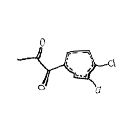 CC(=O)C(=O)c1ccc(Cl)c(Cl)c1